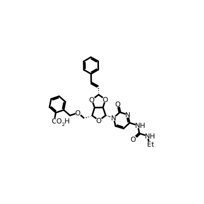 CCNC(=O)Nc1ccn([C@@H]2O[C@H](COCc3ccccc3C(=O)O)C3O[C@H](/C=C/c4ccccc4)OC32)c(=O)n1